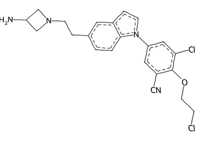 N#Cc1cc(-n2ccc3cc(CCN4CC(N)C4)ccc32)cc(Cl)c1OCCCl